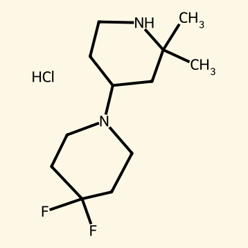 CC1(C)CC(N2CCC(F)(F)CC2)CCN1.Cl